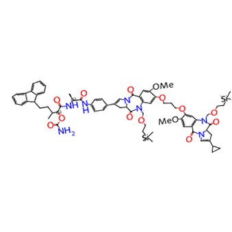 COc1cc2c(cc1OCCCOc1cc3c(cc1OC)C(=O)N1C=C(C4CC4)CC1C(=O)N3COCC[Si](C)(C)C)N(COCC[Si](C)(C)C)C(=O)C1CC(c3ccc(NC(=O)[C@H](C)NC(=O)[C@@H](OC(N)=O)C(C)CCC4c5ccccc5-c5ccccc54)cc3)=CN1C2=O